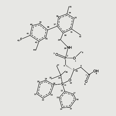 COP(=O)(C[C@H](CC(=O)O)O[Si](c1ccccc1)(c1ccccc1)C(C)(C)C)NCc1c(C)cc(C)cc1-c1ccc(F)c(C)c1